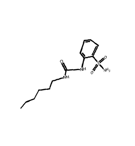 CCCCCCNC(=O)Nc1ccccc1S(N)(=O)=O